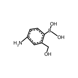 Nc1ccc(B(O)O)c(CO)c1